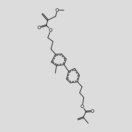 C=C(C)C(=O)OCCCc1ccc(-c2ccc(CCCOC(=O)C(=C)COC)cc2C)cc1